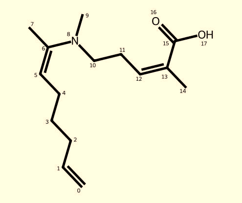 C=CCCC/C=C(/C)N(C)CCC=C(C)C(=O)O